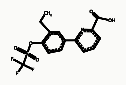 CCc1cc(-c2cccc(C(=O)O)n2)ccc1OS(=O)(=O)C(F)(F)F